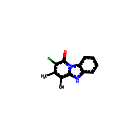 Cc1c(F)c(=O)n2c([nH]c3ccccc32)c1C#N